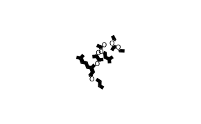 CC(=O)C(C)=O.CC(=O)OCCC(C)C.CC(C)=CCC/C(C)=C\C=O.CCCC.CCOC(C)OCC